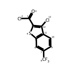 O=C(Cl)c1sc2cc(C(F)(F)F)ccc2c1Cl